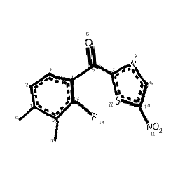 Cc1ccc(C(=O)c2ncc([N+](=O)[O-])s2)c(F)c1C